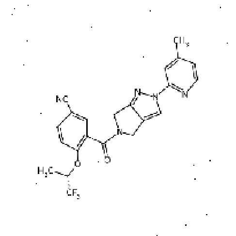 Cc1ccnc(-n2cc3c(n2)CN(C(=O)c2cc(C#N)ccc2O[C@@H](C)C(F)(F)F)C3)c1